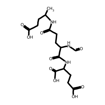 CC(CCC(=O)O)NC(=O)CCC(NC=O)C(=O)NC(CCC(=O)O)C(=O)O